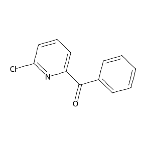 O=C(c1ccccc1)c1cccc(Cl)n1